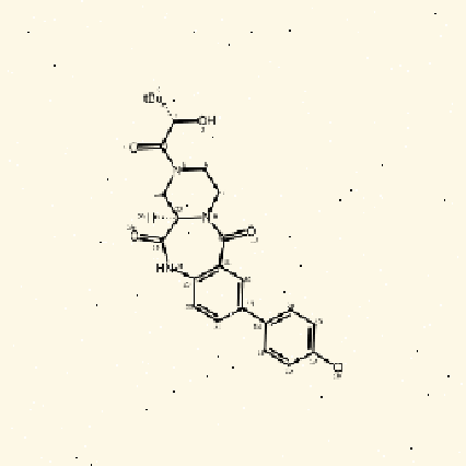 CC(C)(C)[C@H](O)C(=O)N1CCN2C(=O)c3cc(-c4ccc(Cl)cc4)ccc3NC(=O)[C@H]2C1